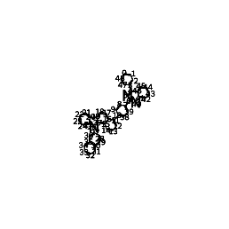 c1ccc(-c2nc(-c3ccc(-c4cccc5c4ccc4c6ccccc6n(-c6ccc7ccccc7c6)c54)cc3)nc3ccccc23)cc1